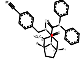 C#Cc1ccc(CN(C)C(=O)N2[C@H]3CC[C@@H]2[C@@H](C(=O)O)N(C(=O)N(c2ccccc2)c2ccccc2)C3)cc1